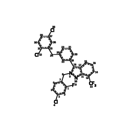 Fc1cc(Cl)ccc1Cn1nc2c(C(F)(F)F)cccc2c1-c1cccc(Cc2cc(Cl)ccc2Cl)c1